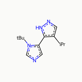 CC(C)c1cn[nH]c1-c1cncn1C(C)(C)C